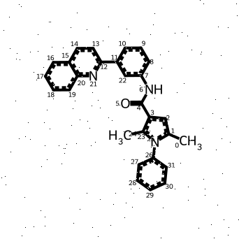 Cc1cc(C(=O)Nc2cccc(-c3ccc4ccccc4n3)c2)c(C)n1-c1ccccc1